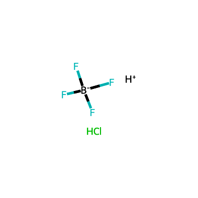 Cl.F[B-](F)(F)F.[H+]